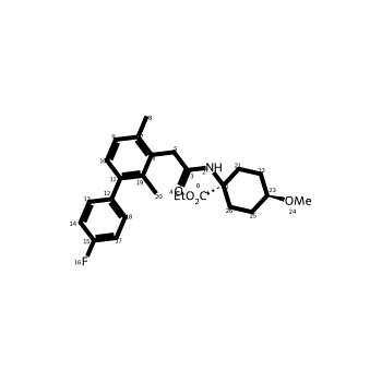 CCOC(=O)[C@]1(NC(=O)Cc2c(C)ccc(-c3ccc(F)cc3)c2C)CC[C@@H](OC)CC1